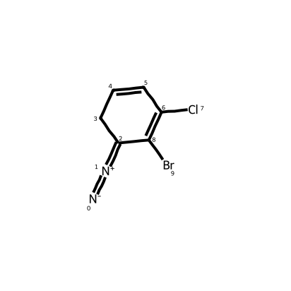 [N-]=[N+]=C1CC=CC(Cl)=C1Br